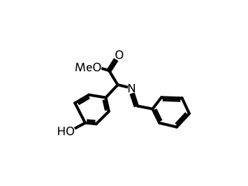 COC(=O)C(N=Cc1ccccc1)c1ccc(O)cc1